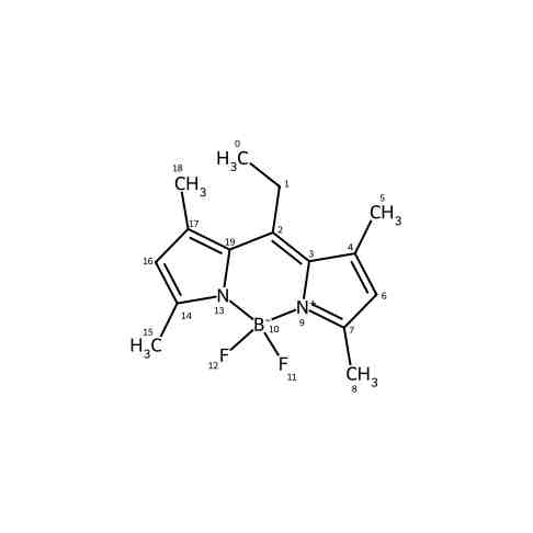 CCC1=C2C(C)=CC(C)=[N+]2[B-](F)(F)n2c(C)cc(C)c21